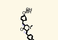 Cc1ccc(/C=C2\CN(C)C/C(=C\c3ccc(OBO)cc3)C2=O)cc1